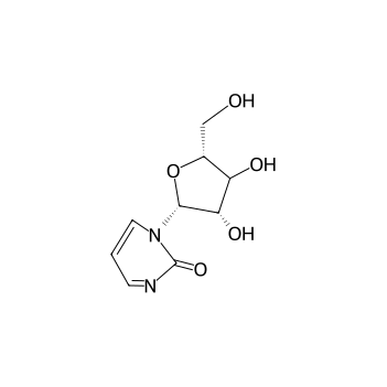 O=c1ncccn1[C@@H]1O[C@H](CO)C(O)[C@@H]1O